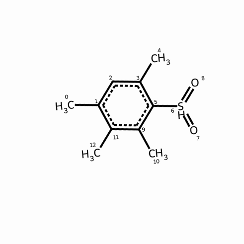 Cc1cc(C)c([SH](=O)=O)c(C)c1C